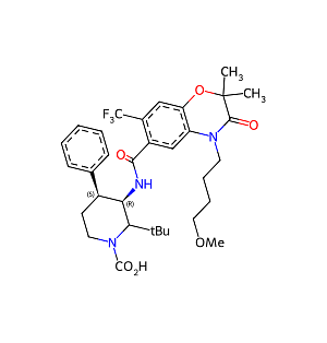 COCCCCN1C(=O)C(C)(C)Oc2cc(C(F)(F)F)c(C(=O)N[C@H]3C(C(C)(C)C)N(C(=O)O)CC[C@H]3c3ccccc3)cc21